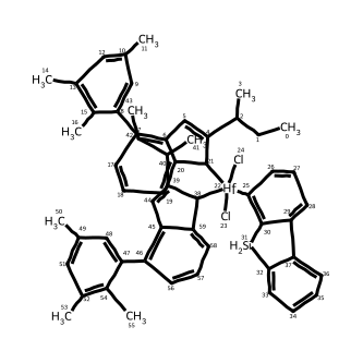 CCC(C)C1=Cc2c(-c3cc(C)cc(C)c3C)cccc2[CH]1[Hf]([Cl])([Cl])([c]1cccc2c1[SiH2]c1ccccc1-2)[CH]1C(C(C)CC)=Cc2c(-c3cc(C)cc(C)c3C)cccc21